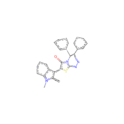 C=c1/c(=c2\sc3n(c2=O)C(c2ccccc2)C(c2ccccc2)=NN=3)c2ccccc2n1C